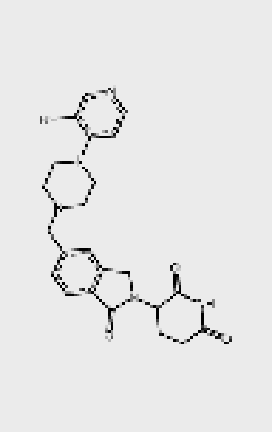 O=C1CCC(N2Cc3cc(CN4CCN(c5ccncc5Br)CC4)ccc3C2=O)C(=O)N1